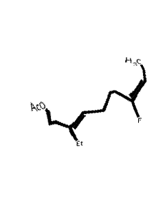 C/C=C(/F)CC/C=C(\CC)COC(C)=O